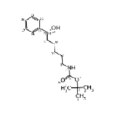 CC(C)(C)OC(=O)NCCCCC[C@@H](O)c1ccccc1